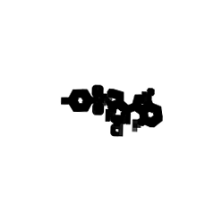 Cc1ccc(S(=O)(=O)n2ccc3c(-c4cn(C)c5cccc(F)c45)nc(Cl)nc32)cc1